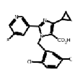 O=C(O)c1c(C2CC2)nc(-c2cncc(F)c2)n1Cc1cc(Cl)ccc1Cl